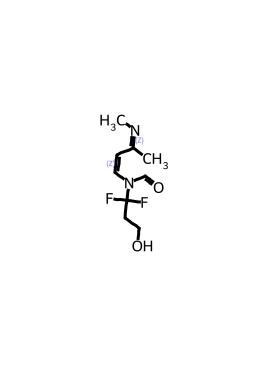 C/N=C(C)\C=C/N(C=O)C(F)(F)CCO